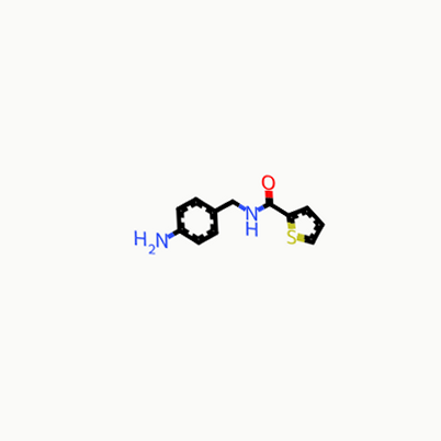 Nc1ccc(CNC(=O)c2cccs2)cc1